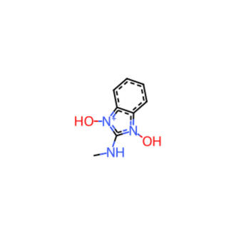 CNc1n(O)c2ccccc2[n+]1O